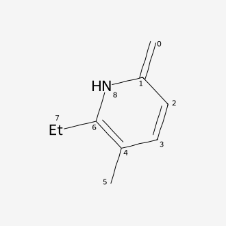 C=C1C=CC(C)=C(CC)N1